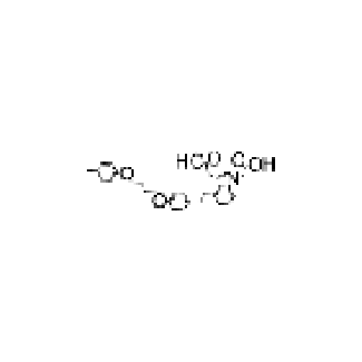 Cc1ccc(OCCCCOc2ccc(CCc3cccc4c3c(CC(=O)O)cn4CC(=O)O)cc2)cc1